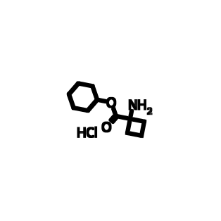 Cl.NC1(C(=O)OC2CCCCC2)CCC1